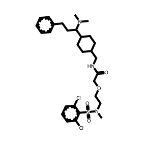 CN(C)C(CCc1ccccc1)C1CCC(CNC(=O)COCCN(C)S(=O)(=O)c2c(Cl)cccc2Cl)CC1